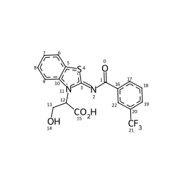 O=C(N=c1sc2ccccc2n1C(CO)C(=O)O)c1cccc(C(F)(F)F)c1